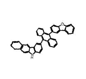 C1=Cc2cc3c(cc2CC1)[nH]c1ccc(-c2c4ccccc4c(-c4ccc5oc6ccccc6c5c4)c4ccccc24)cc13